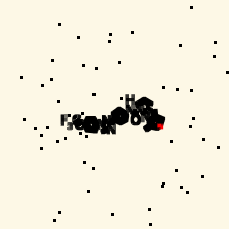 Cc1cccc(C)c1/N=C1\SCCCN1C(=O)Nc1ccc(-c2ncn(-c3ccc(OC(F)(F)F)cc3)n2)cc1